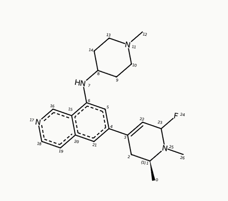 C[C@H]1CC(c2cc(NC3CCN(C)CC3)c3cnccc3c2)=CC(F)N1C